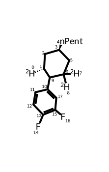 [2H][C@@H]1C[C@@H](CCCCC)CC([2H])([2H])C1c1ccc(F)c(F)c1